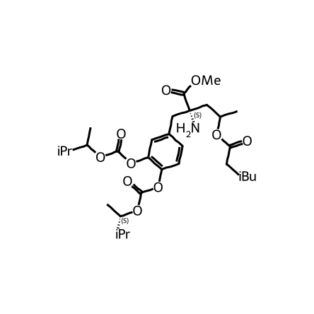 CCC(C)CC(=O)OC(C)C[C@@](N)(Cc1ccc(OC(=O)O[C@@H](C)C(C)C)c(OC(=O)OC(C)C(C)C)c1)C(=O)OC